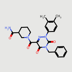 Cc1ccc(-n2nc(C(=O)N3CCCC(C(N)=O)C3)c(=O)n(Cc3ccccc3)c2=O)cc1C